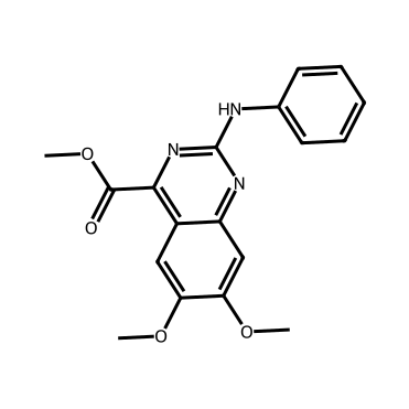 COC(=O)c1nc(Nc2ccccc2)nc2cc(OC)c(OC)cc12